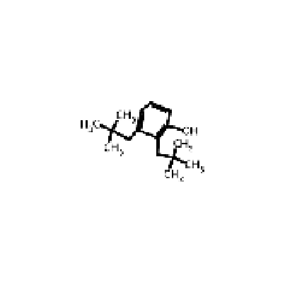 CC(C)(C)Cc1cccc(O)c1CC(C)(C)C